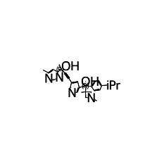 Cc1cc([C@](C)(O)C#Cc2cncc([C@@](O)(c3ccc(C(C)C)cc3)C3(C)CN(C)C3)c2)ncn1